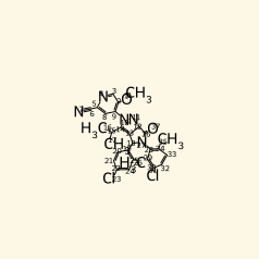 COc1cnc(C#N)cc1-n1nc2c(c1C(C)C)C(c1ccc(Cl)cc1C)N(c1cc(Cl)ccc1C)C2=O